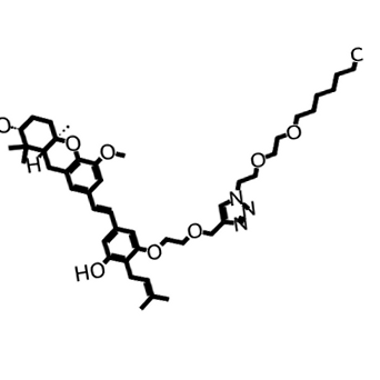 COc1cc(/C=C/c2cc(O)c(CC=C(C)C)c(OCCOCc3cn(CCOCCOCCCCCCCl)nn3)c2)cc2c1O[C@]1(C)CC[C@@H](O)C(C)(C)[C@H]1C2